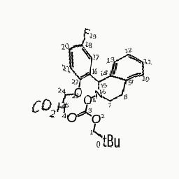 CC(C)(C)COC(=O)ON1CCc2ccccc2C1c1cc(F)ccc1OCC(=O)O